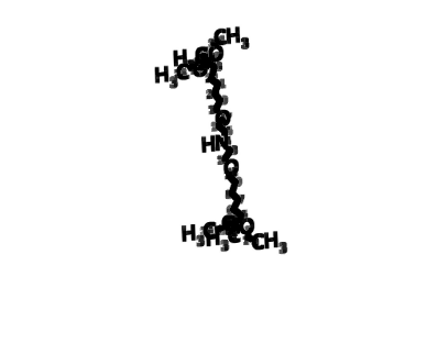 CCO[Si](C)(CCCCCCOCCNCCOCCCCCC[Si](C)(OCC)OCC)OCC